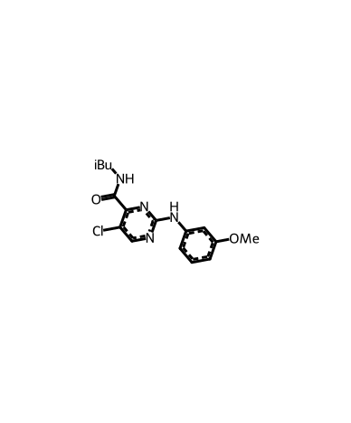 CCC(C)NC(=O)c1nc(Nc2cccc(OC)c2)ncc1Cl